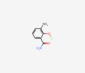 NC(=O)c1cccc([N+](=O)[O-])c1OF